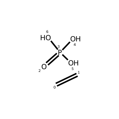 C=C.O=P(O)(O)O